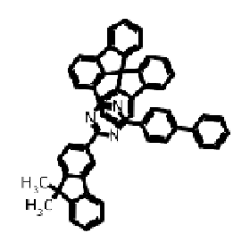 CC1(C)c2ccccc2-c2cc(-c3nc(-c4ccc(-c5ccccc5)cc4)nc(-c4cccc5c4C4(c6ccccc6-c6ccccc64)c4ccccc4-5)n3)ccc21